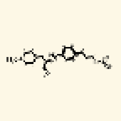 CN1CCC(C/C(C=O)=N\Nc2ccc(CCCNS(=O)O)cc2)CC1